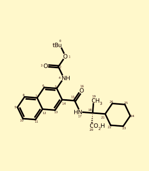 CC(C)(C)OC(=O)Nc1cc2ccccc2cc1C(=O)N[C@](C)(C(=O)O)C1CCCCC1